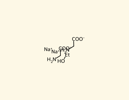 CCO.NCC(=O)[O-].NCC(=O)[O-].[Na+].[Na+]